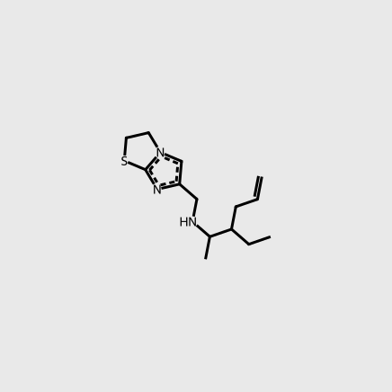 C=CCC(CC)C(C)NCc1cn2c(n1)SCC2